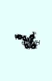 NC(=O)c1nn(CC(=O)N2C[C@H](F)C[C@H]2C(=O)N[C@@H]2CCC[C@@H]2OCc2ccccc2)c2ccc(-c3ccnnc3)cc12